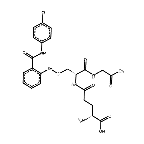 N[C@H](CCC(=O)N[C@H](CS[Se]c1ccccc1C(=O)Nc1ccc(Cl)cc1)C(=O)NCC(=O)O)C(=O)O